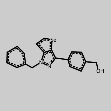 OCc1ccc(-c2nn(Cc3ccccc3)c3cc[se]c23)cc1